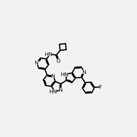 O=C(Nc1cncc(-c2ccc3[nH]nc(-c4cc5c(-c6cccc(F)c6)nccc5[nH]4)c3n2)c1)C1CCC1